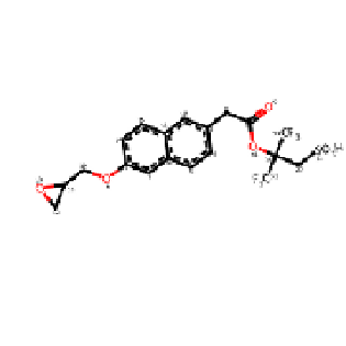 O=C(Cc1ccc2cc(OCC3CO3)ccc2c1)OC(CS(=O)(=O)O)(C(F)(F)F)C(F)(F)F